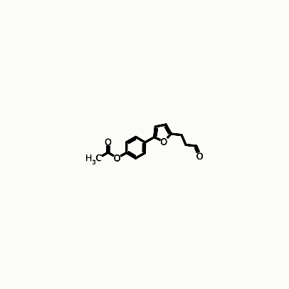 CC(=O)Oc1ccc(-c2ccc(CCC=O)o2)cc1